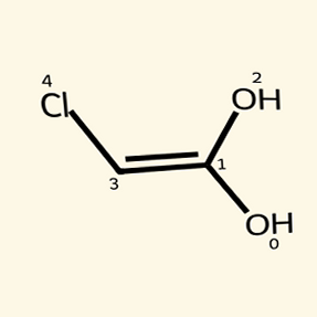 OC(O)=CCl